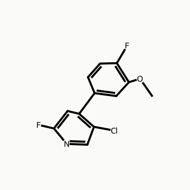 COc1cc(-c2cc(F)ncc2Cl)ccc1F